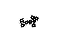 c1ccc(-c2oc3c4ccccc4c4ccccc4c3c2-c2ccc(-c3ccc(N4c5ccccc5Sc5ccccc54)cc3)cc2)cc1